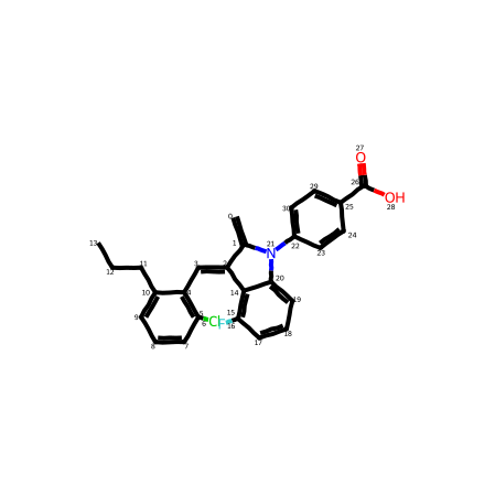 C=c1/c(=C/c2c(Cl)cccc2CCC)c2c(F)cccc2n1-c1ccc(C(=O)O)cc1